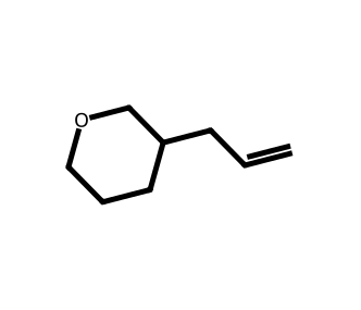 C=CCC1CCCOC1